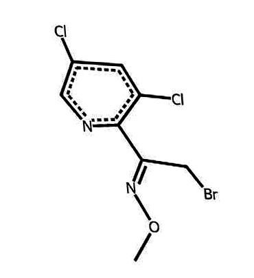 CO/N=C(\CBr)c1ncc(Cl)cc1Cl